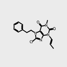 CC=Cn1c(=O)n(C)c(=O)c2c1nc(Cl)n2CCc1ccccc1